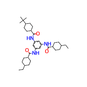 CCC1CCC(C(=O)Nc2cc(NC(=O)C3CCC(CC)CC3)cc(NC(=O)C3CCC(C(C)(C)C)CC3)c2)CC1